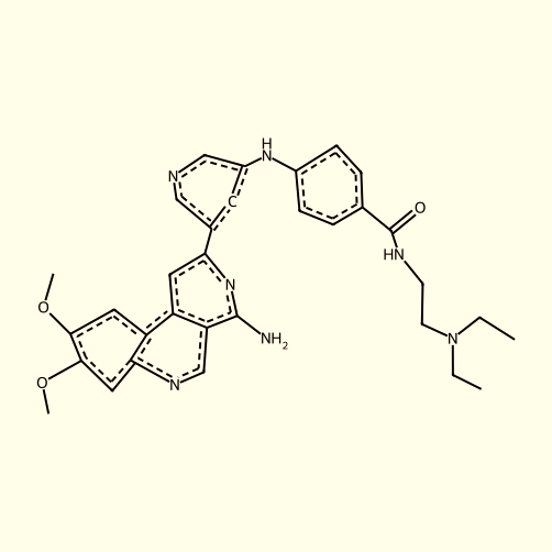 CCN(CC)CCNC(=O)c1ccc(Nc2cncc(-c3cc4c(cnc5cc(OC)c(OC)cc54)c(N)n3)c2)cc1